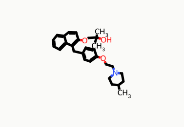 CC1CCN(CCOc2ccc(Cc3c(OCC(C)(C)O)ccc4ccccc34)cc2)CC1